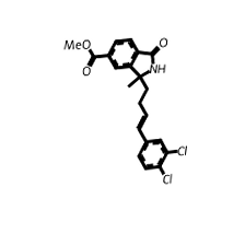 COC(=O)c1ccc2c(c1)C(C)(CCC=Cc1ccc(Cl)c(Cl)c1)NC2=O